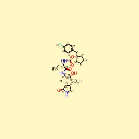 CC(C)C[C@H](NC(=O)OC1(Cc2ccc(F)cc2)CCCC1)C(=O)N[C@@H](C[C@@H]1CCNC1=O)C(O)S(=O)(=O)O